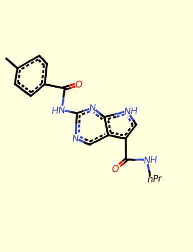 CCCNC(=O)c1c[nH]c2nc(NC(=O)c3ccc(C)cc3)ncc12